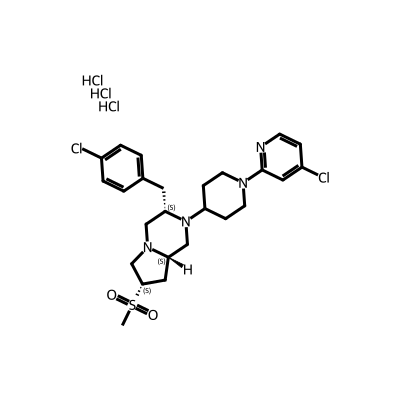 CS(=O)(=O)[C@H]1C[C@H]2CN(C3CCN(c4cc(Cl)ccn4)CC3)[C@@H](Cc3ccc(Cl)cc3)CN2C1.Cl.Cl.Cl